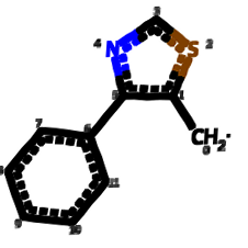 [CH2]c1scnc1-c1ccccc1